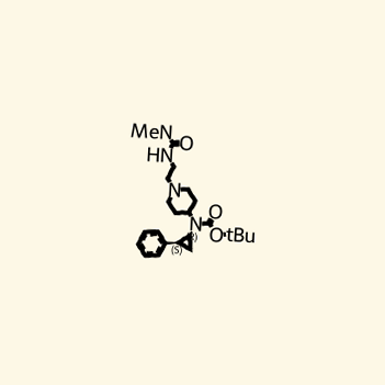 CNC(=O)NCCN1CCC(N(C(=O)OC(C)(C)C)[C@@H]2C[C@H]2c2ccccc2)CC1